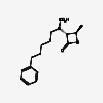 C[C@H]1OC(=O)[C@@H]1N(CCCCCc1ccccc1)C(=O)O